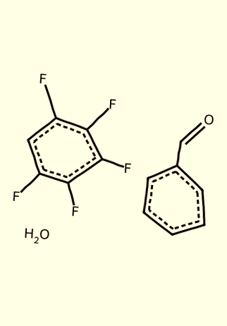 Fc1cc(F)c(F)c(F)c1F.O.O=Cc1ccccc1